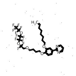 C=CCCCCCCOc1cc(-c2ncccn2)ccc1OCCCCOCC(F)(F)OC(F)(F)C(F)(F)OC(F)(F)C(F)(F)F